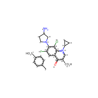 Cc1ccc(S(=O)(=O)O)cc1.NC1CCN(c2c(F)cc3c(=O)c(C(=O)O)cn(C4CC4)c3c2Cl)C1